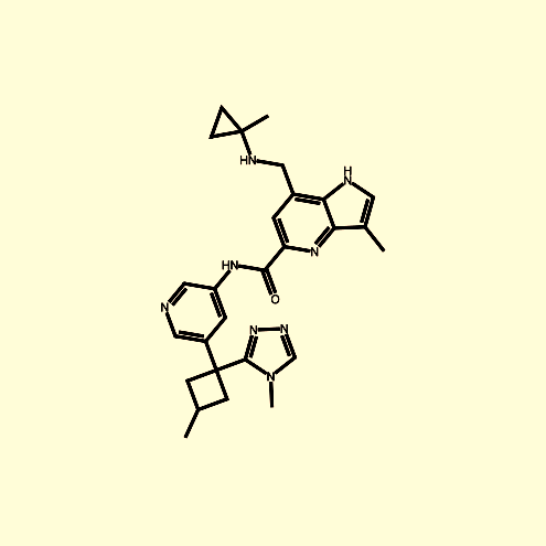 Cc1c[nH]c2c(CNC3(C)CC3)cc(C(=O)Nc3cncc(C4(c5nncn5C)CC(C)C4)c3)nc12